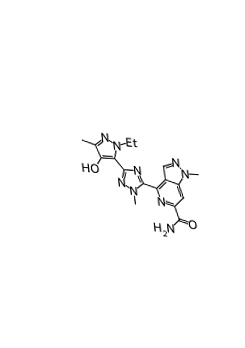 CCn1nc(C)c(O)c1-c1nc(-c2nc(C(N)=O)cc3c2cnn3C)n(C)n1